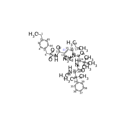 CCc1ccc(CS(=O)(=O)NC(=O)/C(C)=C/[C@H](C(C)C)N(C)C(=O)[C@@H](NC(=O)[C@@H](NC)C(C)(C)c2ccccc2)C(C)(C)C)cc1